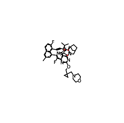 COc1nc(-c2cc(C)cc3ccc(F)c(C#C[Si](C(C)C)(C(C)C)C(C)C)c23)c(F)c2nc(OCC3(CN4CCOCC4)CC3)nc(N3CC4CCC(C4)C3)c12